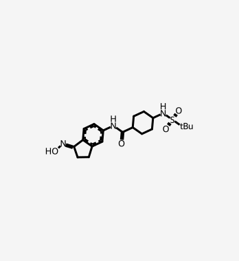 CC(C)(C)S(=O)(=O)NC1CCC(C(=O)Nc2ccc3c(c2)CCC3=NO)CC1